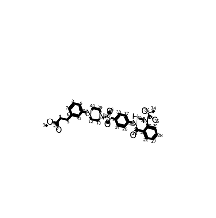 COC(=O)CCc1cccc(N2CCN(S(=O)(=O)c3ccc(NC(=O)c4ccccc4N(C)S(C)(=O)=O)cc3)CC2)c1